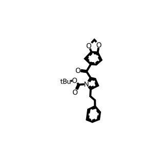 CC(C)(C)OC(=O)n1c(CCc2ccccc2)ccc1C(=O)c1ccc2c(c1)OCO2